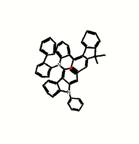 CC1(C)c2ccccc2-c2c(-c3ccccc3N(c3ccccc3-c3ccccc3)c3cccc4c3c3ccccc3n4-c3ccccc3)cccc21